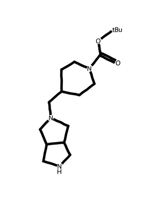 CC(C)(C)OC(=O)N1CCC(CN2CC3CNCC3C2)CC1